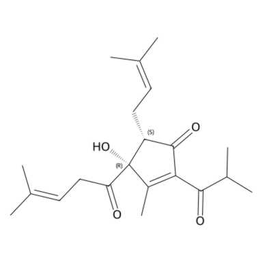 CC(C)=CCC(=O)[C@]1(O)C(C)=C(C(=O)C(C)C)C(=O)[C@H]1CC=C(C)C